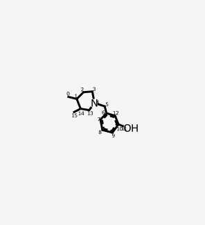 CC1CCN(Cc2cccc(O)c2)CC1C